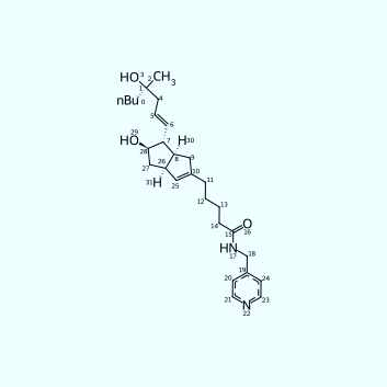 CCCC[C@@](C)(O)C/C=C/[C@@H]1[C@H]2CC(CCCCC(=O)NCc3ccncc3)=C[C@H]2C[C@H]1O